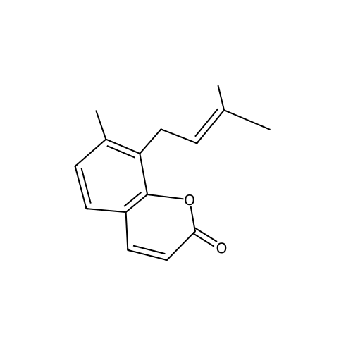 CC(C)=CCc1c(C)ccc2ccc(=O)oc12